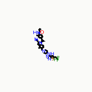 C=CC(=O)Nc1ccc(C2CC2n2c(C#N)cc3c(C)c(CN4CCC(Nc5ncnc6sc(CC(F)(F)F)cc56)CC4)ccc32)cc1C